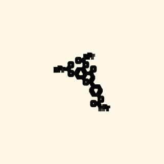 CCCC(=O)Oc1ccc(-c2cc(=O)c3c(OC(=O)CCC)cc(OC(=O)CCC)cc3o2)cc1